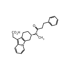 CN(C(=O)CCc1ccccc1)[C@@H]1CCc2c(CC(=O)O)c3ccccn3c2C1